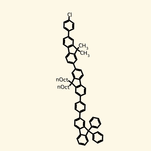 CCCCCCCCC1(CCCCCCCC)c2cc(-c3ccc(-c4ccc5c(c4)C(c4ccccc4)(c4ccccc4)c4ccccc4-5)cc3)ccc2-c2ccc(-c3ccc4c(c3)C(C)(C)c3cc(-c5ccc(Cl)cc5)ccc3-4)cc21